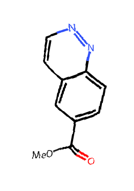 COC(=O)c1ccc2nnccc2c1